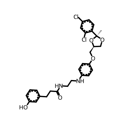 C[C@]1(c2ccc(Cl)cc2Cl)OC[C@@H](COc2ccc(NCCNC(=O)CCc3cccc(O)c3)cc2)O1